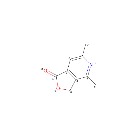 Cc1cc2c(c(C)n1)COC2=O